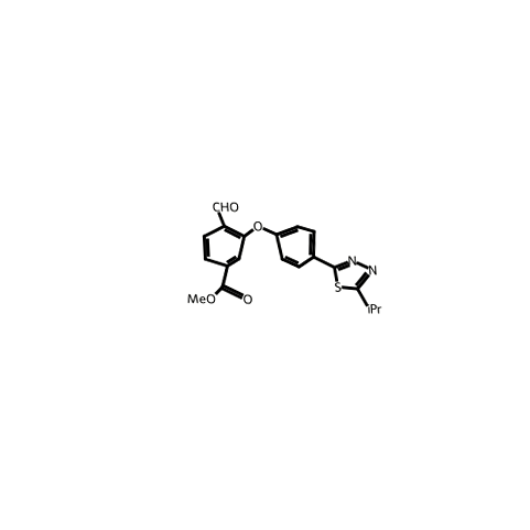 COC(=O)c1ccc(C=O)c(Oc2ccc(-c3nnc(C(C)C)s3)cc2)c1